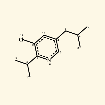 CC(C)Cc1cnc(C(C)C)c(Cl)c1